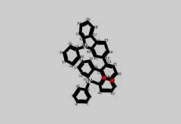 c1ccc(N(c2ccccc2)c2ccccc2-c2ccccc2-c2ccc3c4ccccc4n(-c4ccccc4)c3c2)cc1